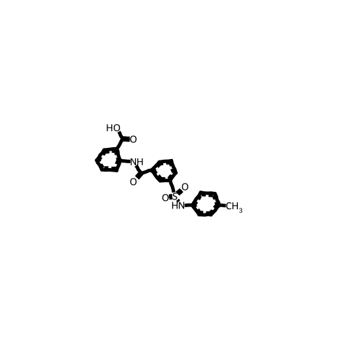 Cc1ccc(NS(=O)(=O)c2cccc(C(=O)Nc3ccccc3C(=O)O)c2)cc1